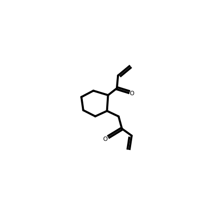 C=CC(=O)CC1CCCCC1C(=O)C=C